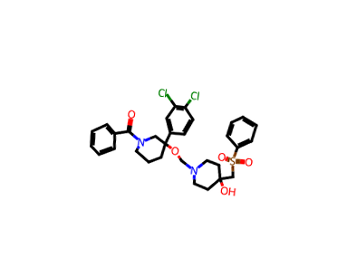 O=C(c1ccccc1)N1CCCC(OCN2CCC(O)(CS(=O)(=O)c3ccccc3)CC2)(c2ccc(Cl)c(Cl)c2)C1